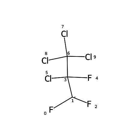 F[C](F)C(F)(Cl)C(Cl)(Cl)Cl